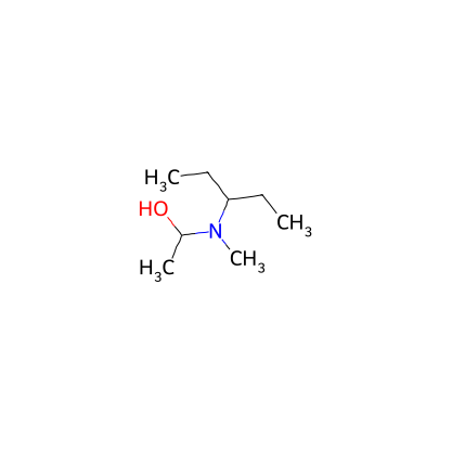 CCC(CC)N(C)C(C)O